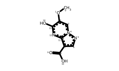 COc1cn2ncc(C(=O)O)c2nc1O